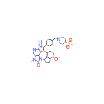 COC1CC=C(c2c(-c3ccc(CN4CCC(S(C)(=O)=O)CC4)cc3)[nH]c3ncc4c(c23)n(C2CCCC2)c(=O)n4C)CC1